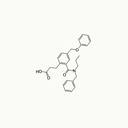 CCCN(Cc1ccccc1)C(=O)c1cc(COc2ccccc2)ccc1CCC(=O)O